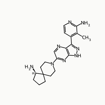 Cc1c(-c2n[nH]c3nc(N4CCC5(CCC[C@H]5N)CC4)cnc23)ccnc1N